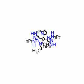 C=C(/N=C\C=C/C)[C@H]1[C@@H](c2cc(NCCC)nc(NCCC)n2)[C@H](c2ccccn2)[C@@H]1c1cc(NCCC)nc(NCCC)n1